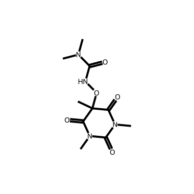 CN(C)C(=O)NOC1(C)C(=O)N(C)C(=O)N(C)C1=O